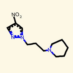 O=[N+]([O-])c1cnn(CCCN2CCCCC2)c1